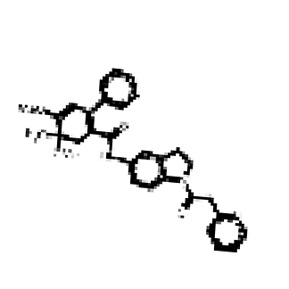 COC1=CC(c2ccccc2)=C(C(=O)Nc2ccc3c(c2)CCN3C(=O)Cc2ccccn2)CC1(C)OC